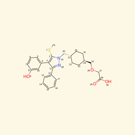 CSc1c(-c2cccc(O)c2)c(-c2ccccc2)nn1C[C@H]1CC[C@H](COCC(=O)O)CC1